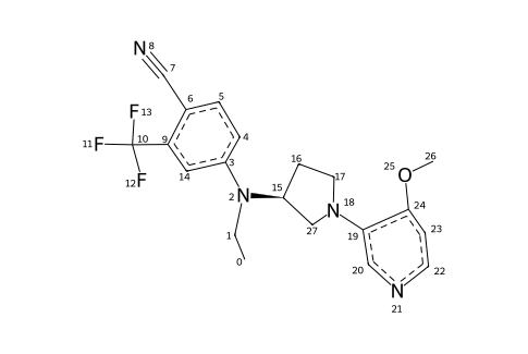 CCN(c1ccc(C#N)c(C(F)(F)F)c1)[C@H]1CCN(c2cnccc2OC)C1